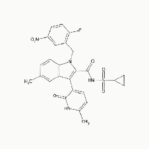 Cc1ccc2c(c1)c(-c1ccc(C)[nH]c1=O)c(C(=O)NS(=O)(=O)C1CC1)n2Cc1cc([N+](=O)[O-])ccc1F